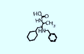 CC(NC(=O)O)[C@H](CC1CCCCC1)NCc1ccccc1